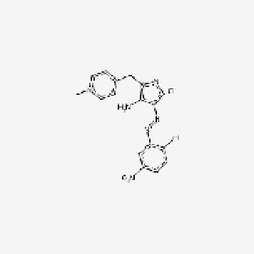 C[n+]1ccc(Cn2ncc(N=Nc3cc([N+](=O)[O-])ccc3Cl)c2N)cc1.[Cl-]